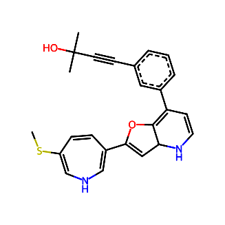 CSC1=CNC=C(C2=CC3NC=CC(c4cccc(C#CC(C)(C)O)c4)=C3O2)C=C1